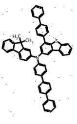 CC1(C)c2ccccc2-c2ccc(N(c3ccc(-c4ccc(-c5ccccc5)cc4)cc3)c3cc(-c4ccc(-c5ccccc5)cc4)c4sc5ccccc5c4c3)cc21